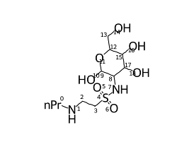 CCCNCCS(=O)(=O)NC1C(O)OC(CO)C(O)C1O